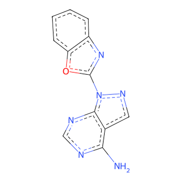 Nc1ncnc2c1cnn2-c1nc2ccccc2o1